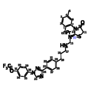 CCCc1ccc(C)cc1N1C(=O)CS/C1=N\CNCCCc1ccc(-c2ncn(-c3ccc(OC(F)(F)F)cc3)n2)cc1